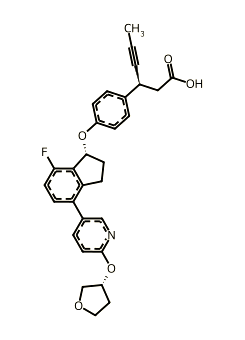 CC#C[C@@H](CC(=O)O)c1ccc(O[C@@H]2CCc3c(-c4ccc(O[C@@H]5CCOC5)nc4)ccc(F)c32)cc1